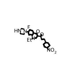 CCn1cc(C(=O)/C=C/c2ccc([N+](=O)[O-])cc2)c(=O)c2cc(F)c(N3CCNCC3)cc21